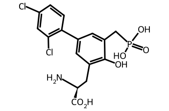 N[C@@H](Cc1cc(-c2ccc(Cl)cc2Cl)cc(CP(=O)(O)O)c1O)C(=O)O